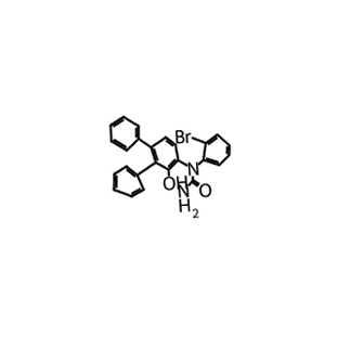 NC(=O)N(c1ccccc1Br)c1ccc(-c2ccccc2)c(-c2ccccc2)c1O